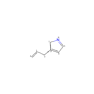 C=CCC1=CC=NC1